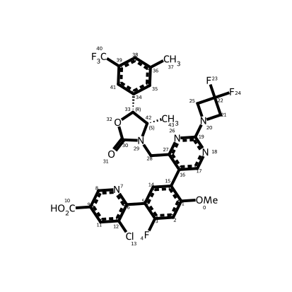 COc1cc(F)c(-c2ncc(C(=O)O)cc2Cl)cc1-c1cnc(N2CC(F)(F)C2)nc1CN1C(=O)O[C@H](c2cc(C)cc(C(F)(F)F)c2)[C@@H]1C